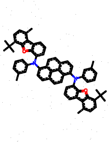 Cc1cccc(N(c2ccc3ccc4c(N(c5cccc(C)c5)c5cccc6c5oc5c(C(C)(C)C)ccc(C)c56)ccc5ccc2c3c54)c2cccc3c2oc2c(C(C)(C)C)ccc(C)c23)c1